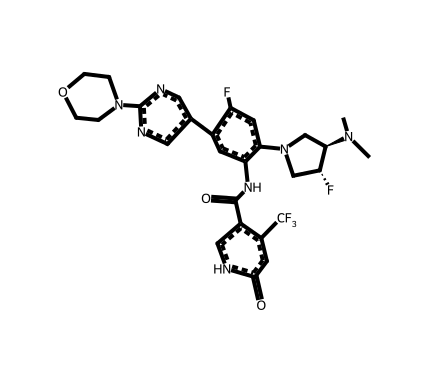 CN(C)[C@@H]1CN(c2cc(F)c(-c3cnc(N4CCOCC4)nc3)cc2NC(=O)c2c[nH]c(=O)cc2C(F)(F)F)C[C@H]1F